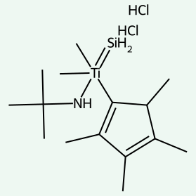 CC1=C(C)C(C)[C]([Ti]([CH3])([CH3])(=[SiH2])[NH]C(C)(C)C)=C1C.Cl.Cl